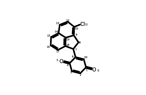 O=C1C=CC(=O)C(C2Cc3c(Cl)ccc4cccc2c34)=C1